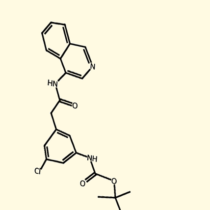 CC(C)(C)OC(=O)Nc1cc(Cl)cc(CC(=O)Nc2cncc3ccccc23)c1